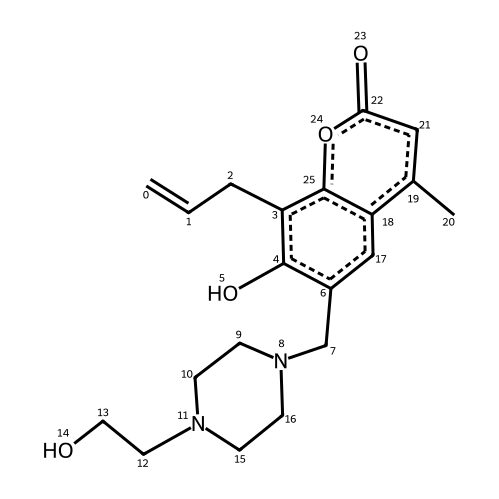 C=CCc1c(O)c(CN2CCN(CCO)CC2)cc2c(C)cc(=O)oc12